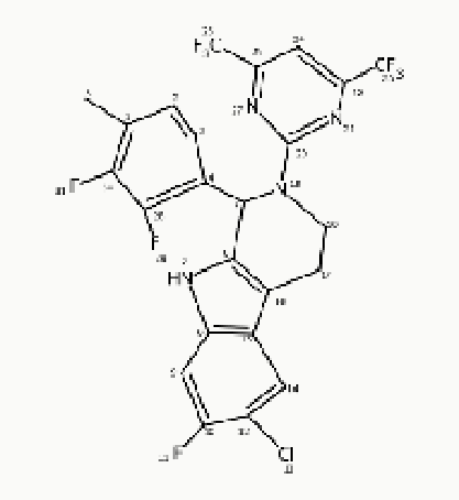 Cc1ccc(C2c3[nH]c4cc(F)c(Cl)cc4c3CCN2c2nc(C(F)(F)F)cc(C(F)(F)F)n2)c(F)c1F